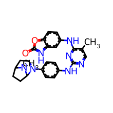 Cc1cnc(Nc2ccc(N3CCC4CCC3N4C)cc2)nc1Nc1ccc2oc(=O)[nH]c2c1